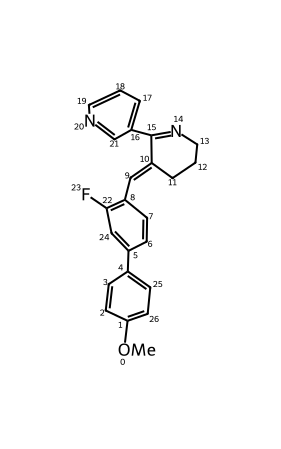 COc1ccc(-c2ccc(C=C3CCCN=C3c3cccnc3)c(F)c2)cc1